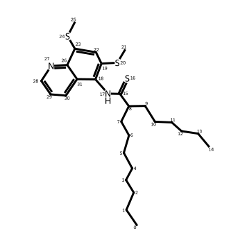 CCCCCCCCC(CCCCCC)C(=S)Nc1c(SC)cc(SC)c2ncccc12